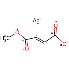 COC(=O)C=CC(=O)[O-].[Ag+]